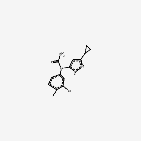 Cc1ccc(N(C(N)=O)c2cc(C3CC3)n[nH]2)cc1O